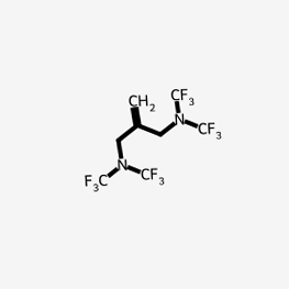 C=C(CN(C(F)(F)F)C(F)(F)F)CN(C(F)(F)F)C(F)(F)F